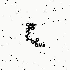 COC(=O)OC/C=C\COC(=O)OC